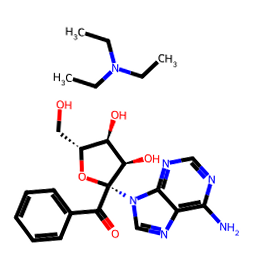 CCN(CC)CC.Nc1ncnc2c1ncn2[C@]1(C(=O)c2ccccc2)O[C@H](CO)[C@@H](O)[C@H]1O